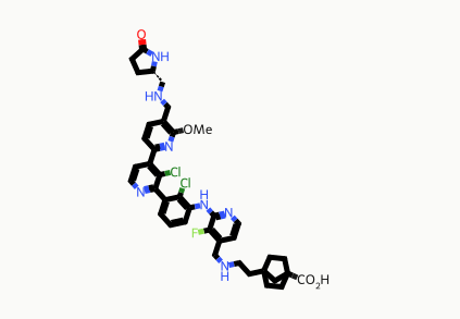 COc1nc(-c2ccnc(-c3cccc(Nc4nccc(CNCCC56CCC(C(=O)O)(CC5)C6)c4F)c3Cl)c2Cl)ccc1CNC[C@@H]1CCC(=O)N1